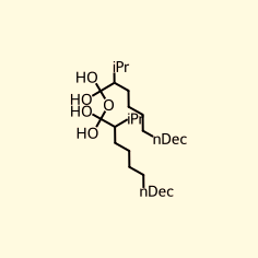 CCCCCCCCCCCCCCC(C(C)C)C(O)(O)OC(O)(O)C(CCCCCCCCCCCCCC)C(C)C